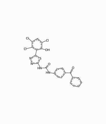 O=C(Nc1ccc(C(=O)c2ccccc2)cc1)Nc1nnc(-c2c(O)c(Cl)cc(Cl)c2Cl)s1